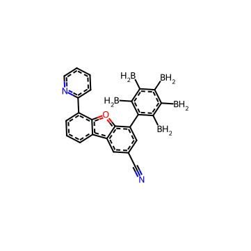 Bc1c(B)c(B)c(-c2cc(C#N)cc3c2oc2c(-c4ccccn4)cccc23)c(B)c1B